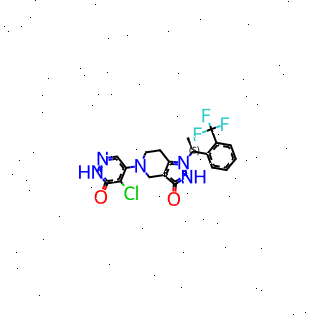 C[C@@H](c1ccccc1C(F)(F)F)n1[nH]c(=O)c2c1CCN(c1cn[nH]c(=O)c1Cl)C2